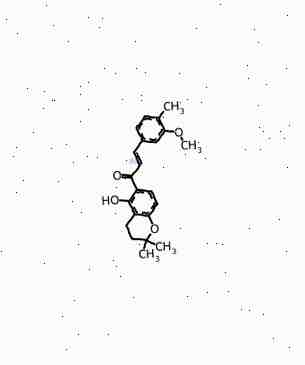 COc1cc(/C=C/C(=O)c2ccc3c(c2O)CCC(C)(C)O3)ccc1C